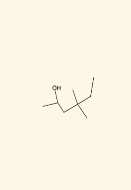 CCC(C)(C)CC(C)O